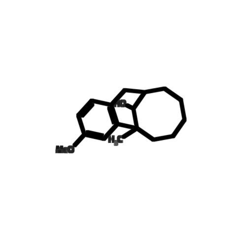 COc1ccc2c(c1)C1(C)CCCCCC(C2)C1O